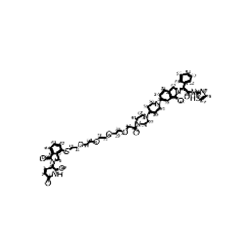 O=C1CCC(N2Cc3c(SCCOCCOCCOCCOCC(=O)N4CCN(C5CCN(c6ccc7c(c6)C(=O)N(C(C(=O)Nc6nccs6)c6ccccc6)C7)CC5)CC4)cccc3C2=O)C(=O)N1